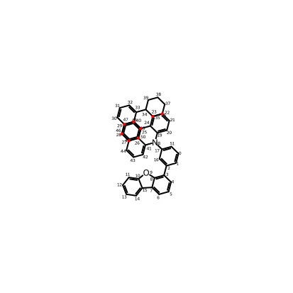 c1cc(-c2cccc3c2oc2ccccc23)cc(N(c2ccccc2-c2cccc3cccc(C4CCCCC4)c23)c2cccc3ccccc23)c1